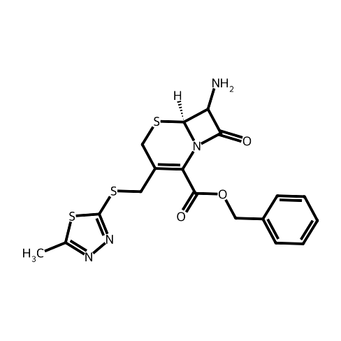 Cc1nnc(SCC2=C(C(=O)OCc3ccccc3)N3C(=O)C(N)[C@@H]3SC2)s1